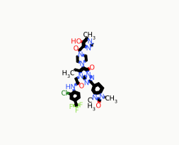 CCc1c(N2CCN(C(=O)c3ncnc(C)c3O)CC2)c(=O)n2nc(-c3ccc4c(c3)n(C)c(=O)n4C)nc2n1CC(=O)Nc1ccc(C(F)(F)F)cc1Cl